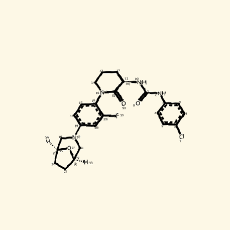 O=C(Nc1ccc(Cl)cc1)N[C@@H]1CCCN(c2ccc(N3C[C@H]4CC[C@@H](C3)O4)cc2F)C1=O